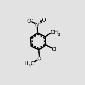 COc1ccc([N+](=O)[O-])c(C)c1Cl